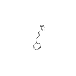 O=[N+]([O-])NC=CCc1ccccc1